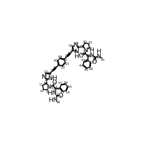 CNC(=O)N[C@@H](C(=O)N1CCC[C@H]1c1ncc(C#Cc2ccc(C#Cc3cnc([C@@H]4CCCN4C(=O)[C@H](NC(=O)NC)c4ccccc4)[nH]3)cc2)[nH]1)c1ccccc1